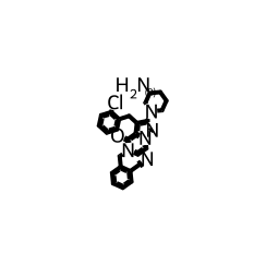 N#Cc1ccccc1Cn1ccn2nc(N3CCC[C@@H](N)C3)c(Cc3ccccc3Cl)c2c1=O